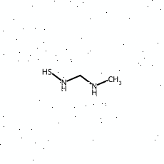 CNCNS